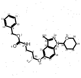 C[C@H](CCNC(=O)OCc1ccccc1)Oc1ccc2c(c1)c(I)nn2C1CCCCO1